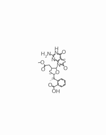 COC(=O)CC1SC([C@@H](C)c2ccccc2C(=O)O)OC1n1c(=O)sc2c(=O)[nH]c(N)nc21